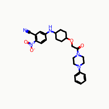 N#Cc1cc(NC2CCC(OCC(=O)N3CCN(c4ccccc4)CC3)CC2)ccc1[N+](=O)[O-]